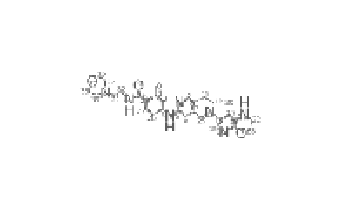 Cc1cc(Nc2cc3c(cn2)CCN(c2cnc4c(c2C)NCCO4)C3)ccc1C(=O)NCCN1CCOCC1